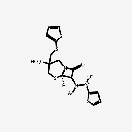 CC(=O)N(C1C(=O)N2CC(CSc3cccs3)(C(=O)O)CS[C@H]12)[S+]([O-])c1cccs1